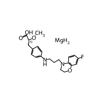 CO[C@@H](Cc1ccc(NCCCN2CCOc3cc(F)ccc32)cc1)C(=O)O.[MgH2]